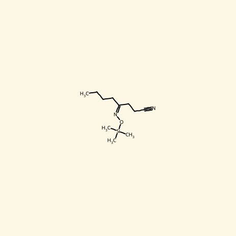 CCCCC(CCC#N)=NO[Si](C)(C)C